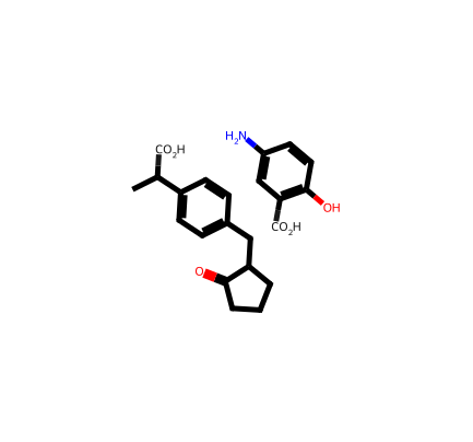 CC(C(=O)O)c1ccc(CC2CCCC2=O)cc1.Nc1ccc(O)c(C(=O)O)c1